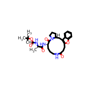 C[C@H](NC(=O)OC(C)(C)C)C(=O)N[C@H]1CCCNC(=O)CCc2oc3ccccc3c2C[C@@H]2CCCN2C1=O